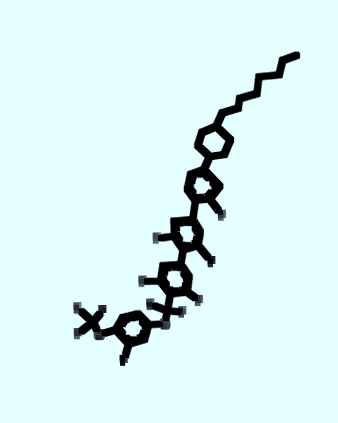 CCCCCCCCC1CCC(c2ccc(-c3cc(F)c(-c4cc(F)c(C(F)(F)Oc5ccc(OC(F)(F)F)c(F)c5)c(F)c4)c(F)c3)c(F)c2)CC1